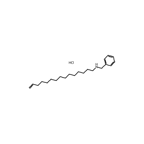 C=CCCCCCCCCCCCCCNCc1ccccc1.Cl